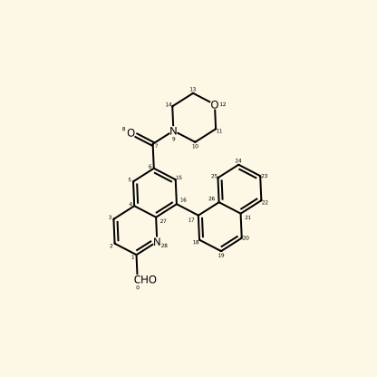 O=Cc1ccc2cc(C(=O)N3CCOCC3)cc(-c3cccc4ccccc34)c2n1